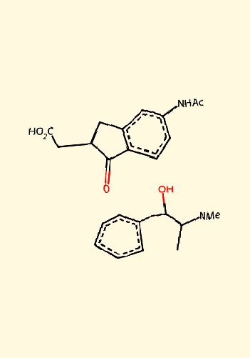 CC(=O)Nc1ccc2c(c1)CC(CC(=O)O)C2=O.CNC(C)C(O)c1ccccc1